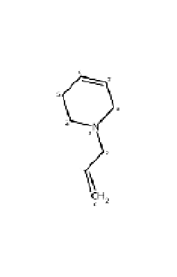 C=CCN1[CH]CC=CC1